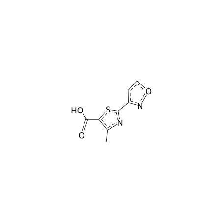 Cc1nc(-c2ccon2)sc1C(=O)O